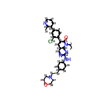 CCn1c(=O)c(-c2ccc(-c3cccnc3C)cc2Cl)cc2cnc(Nc3ccc(CCN4CCOCC4)cc3)nc21